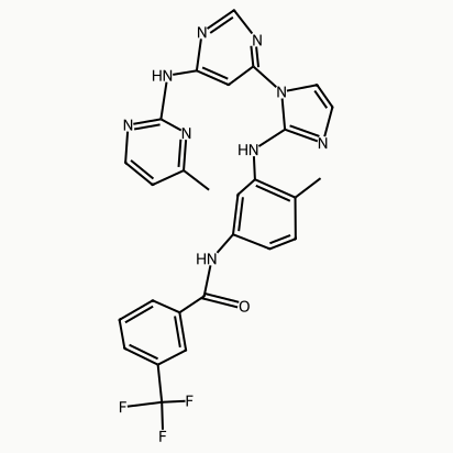 Cc1ccnc(Nc2cc(-n3ccnc3Nc3cc(NC(=O)c4cccc(C(F)(F)F)c4)ccc3C)ncn2)n1